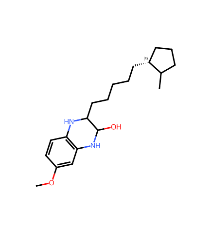 COc1ccc2c(c1)NC(O)C(CCCCC[C@@H]1CCCC1C)N2